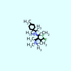 C=C=C(NC(C)C1(C)CC=C(C)CC1)/C(C(=C)C(F)F)=C(\C)N(C)C